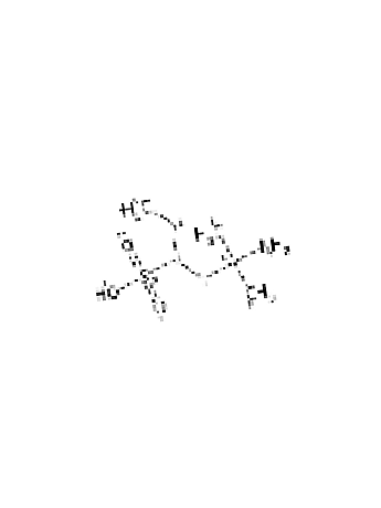 [CH2]CC(CC(C)(C)N)S(=O)(=O)O